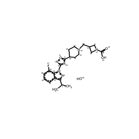 CC(C)c1nn(-c2noc(C3CCN(CC4CN(C(=O)O)C4)CC3)n2)c2c(F)cccc12.Cl